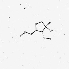 C[C@]1(O)CO[C@H](COI)[C@H]1OI